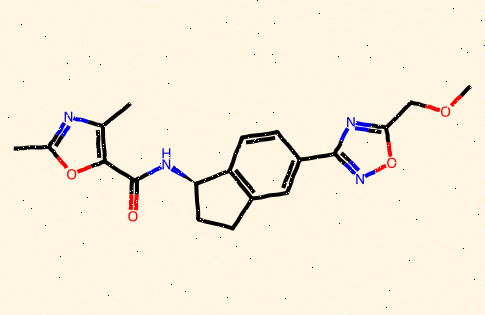 COCc1nc(-c2ccc3c(c2)CC[C@H]3NC(=O)c2oc(C)nc2C)no1